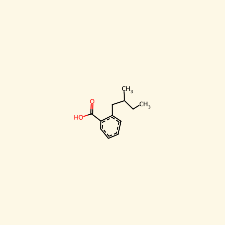 CCC(C)Cc1ccccc1C(=O)O